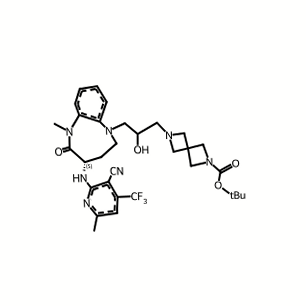 Cc1cc(C(F)(F)F)c(C#N)c(N[C@H]2CCN(CC(O)CN3CC4(C3)CN(C(=O)OC(C)(C)C)C4)c3ccccc3N(C)C2=O)n1